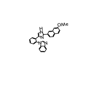 COc1ccc2ccc(-c3nc(-c4ccccc4-n4cnc5ccccc54)c[nH]3)cc2c1